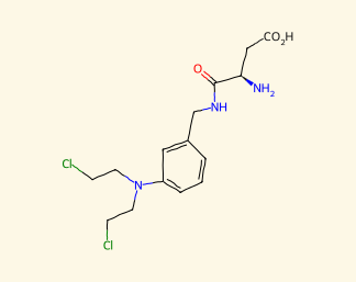 N[C@H](CC(=O)O)C(=O)NCc1cccc(N(CCCl)CCCl)c1